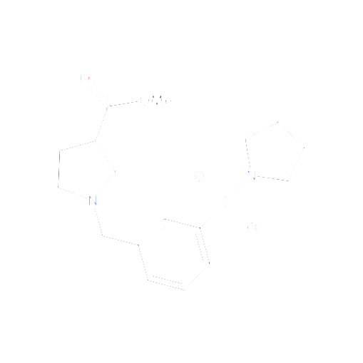 COC(=O)C1CCN(Cc2cccc(S(=O)(=O)N3CCCC3)c2)C1